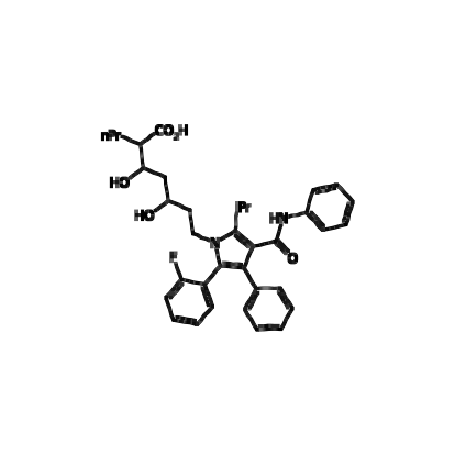 CCCC(C(=O)O)C(O)CC(O)CCn1c(-c2ccccc2F)c(-c2ccccc2)c(C(=O)Nc2ccccc2)c1C(C)C